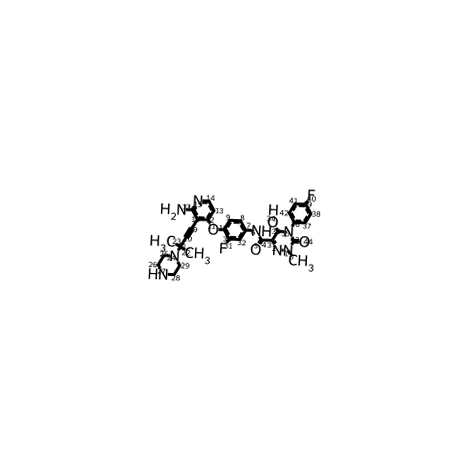 CN1N=C(C(=O)Nc2ccc(Oc3ccnc(N)c3C#CC(C)(C)N3CCNCC3)c(F)c2)C(O)N(c2ccc(F)cc2)C1=O